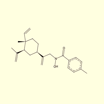 C=C[C@]1(C)CC[C@@H](C(=C)CN(O)C(=O)c2ccc(C)cc2)C[C@H]1C(=C)C